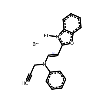 C#CCN(/C=C/c1oc2ccccc2[n+]1CC)c1ccccc1.[Br-]